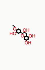 CCOc1ccc(C2Oc3cc(O)cc(O)c3CC2O)cc1O